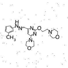 Cc1cccc(N/N=C/c2cc(N3CCOCC3)nc(OCCN3CCOCC3)n2)c1